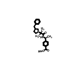 COC(=O)c1ccc([C@H](C)NC(=O)C(C)(C)N2CCC(Cc3ccccc3)C2)cc1